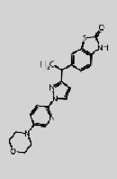 CC(c1ccc2[nH]c(=O)sc2c1)c1ccn(-c2ccc(N3CCOCC3)cn2)n1